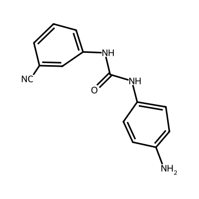 N#Cc1cccc(NC(=O)Nc2ccc(N)cc2)c1